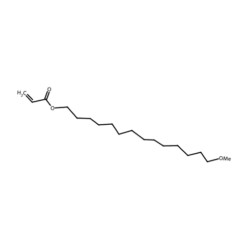 C=CC(=O)OCCCCCCCCCCCCCCOC